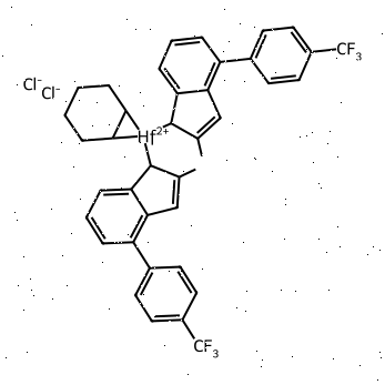 CC1=Cc2c(-c3ccc(C(F)(F)F)cc3)cccc2[CH]1[Hf+2]1([CH]2C(C)=Cc3c(-c4ccc(C(F)(F)F)cc4)cccc32)[CH]2CCCC[CH]21.[Cl-].[Cl-]